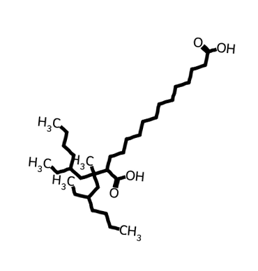 CCCCC(CC)CC(C)(CC(CC)CCCC)C(CCCCCCCCCCCCC(=O)O)C(=O)O